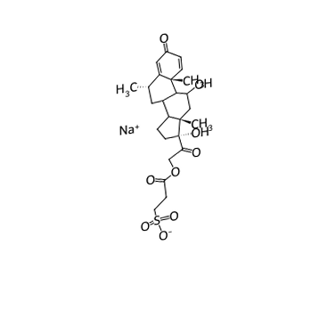 C[C@H]1CC2C(C(O)C[C@@]3(C)C2CC[C@]3(O)C(=O)COC(=O)CCS(=O)(=O)[O-])[C@@]2(C)C=CC(=O)C=C12.[Na+]